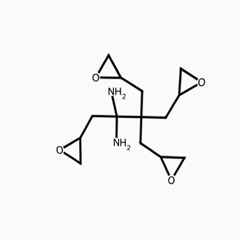 NC(N)(CC1CO1)C(CC1CO1)(CC1CO1)CC1CO1